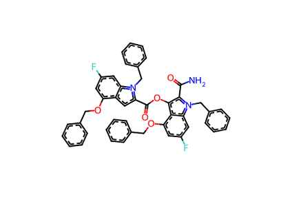 NC(=O)c1c(OC(=O)c2cc3c(OCc4ccccc4)cc(F)cc3n2Cc2ccccc2)c2c(OCc3ccccc3)cc(F)cc2n1Cc1ccccc1